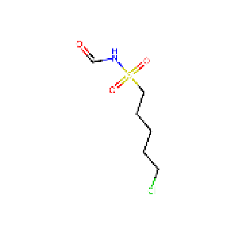 O=CNS(=O)(=O)CCCCCCl